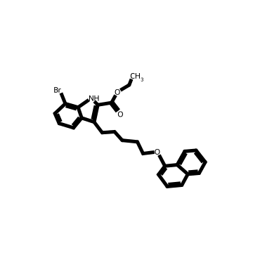 CCOC(=O)c1[nH]c2c(Br)cccc2c1CCCCCOc1cccc2ccccc12